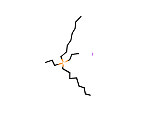 CCCCCCCC[P+](CCC)(CCC)CCCCCCCC.[I-]